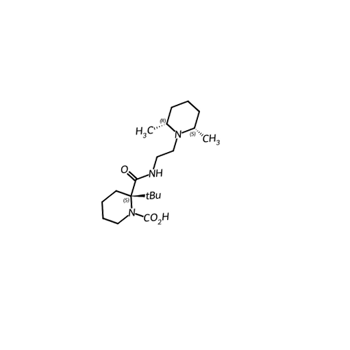 C[C@@H]1CCC[C@H](C)N1CCNC(=O)[C@@]1(C(C)(C)C)CCCCN1C(=O)O